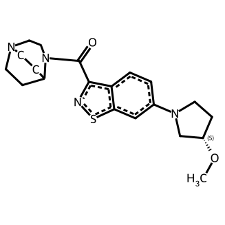 CO[C@H]1CCN(c2ccc3c(C(=O)N4CCN5CCC4CC5)nsc3c2)C1